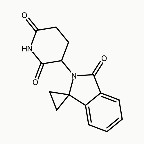 O=C1CCC(N2C(=O)c3ccccc3C23CC3)C(=O)N1